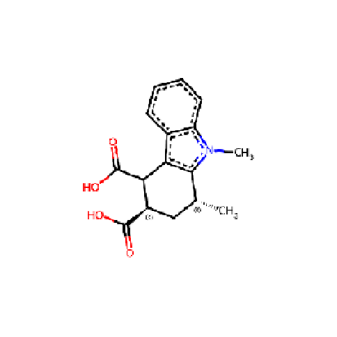 C[C@@H]1C[C@@H](C(=O)O)C(C(=O)O)c2c1n(C)c1ccccc21